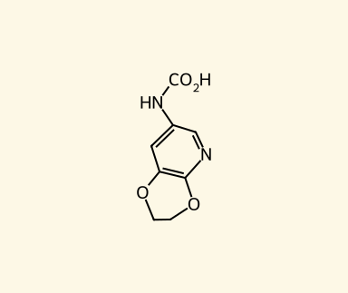 O=C(O)Nc1cnc2c(c1)OCCO2